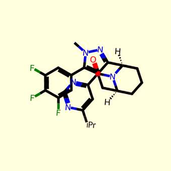 CC(C)c1cc(C(=O)N2[C@H]3CCC[C@@H]2c2nn(C)c(-c4cc(F)c(F)c(F)c4)c2C3)ncn1